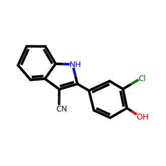 N#Cc1c(-c2ccc(O)c(Cl)c2)[nH]c2ccccc12